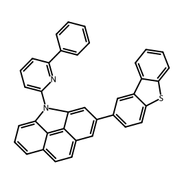 c1ccc(-c2cccc(-n3c4cccc5ccc6cc(-c7ccc8sc9ccccc9c8c7)cc3c6c54)n2)cc1